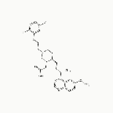 COc1ccc2nccc([C@@H](N)CC[C@@H]3CCN(CCSc4cc(F)ccc4F)C[C@@H]3CC(=O)O)c2c1